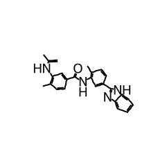 C=C(C)Nc1cc(C(=O)Nc2cc(-c3nc4ccccc4[nH]3)ccc2C)ccc1C